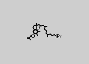 C=C(C)COc1cc2c(c(C)c1C)OC(C)(CCCC(C)CCCC(C)CCCC(C)C)CC2